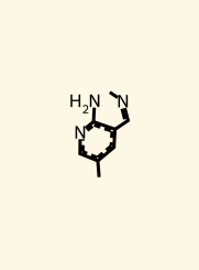 C/N=C\c1cc(C)cnc1N